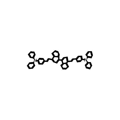 C(=Cc1ccc(-c2ccc(C=Cc3ccc(N(c4ccccc4)c4ccccc4)cc3)c3ccccc23)c2ccccc12)c1ccc(N(c2ccccc2)c2ccccc2)cc1